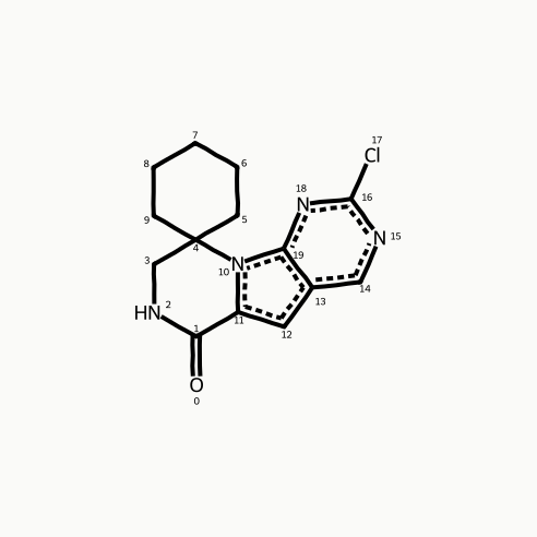 O=C1NCC2(CCCCC2)n2c1cc1cnc(Cl)nc12